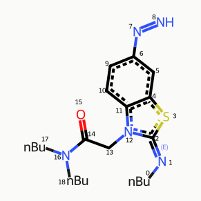 CCCC/N=c1/sc2cc(N=N)ccc2n1CC(=O)N(CCCC)CCCC